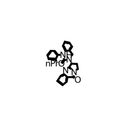 CCCc1ccccc1NC(=O)N(Cc1ccccc1)C1CCn2c1nc1ccccc1c2=O